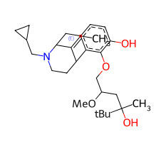 C/C=C1\C2CCN(CC3CC3)C1Cc1ccc(O)c(OCC(CC(C)(O)C(C)(C)C)OC)c12